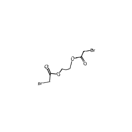 O=C(CBr)OCCOC(=O)CBr